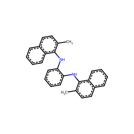 Cc1ccc2ccccc2c1Nc1ccccc1Nc1c(C)ccc2ccccc12